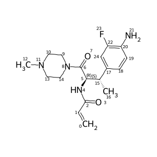 C=CC(=O)N[C@@H](C(=O)N1CCN(C)CC1)[C@@H](C)c1ccc(N)c(F)c1